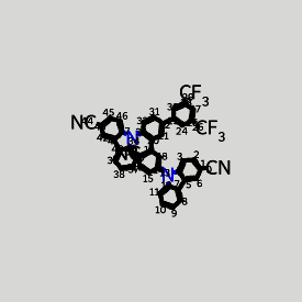 N#Cc1ccc2c(c1)c1ccccc1n2-c1ccc(C#N)c(-c2cc(-c3cc(C(F)(F)F)cc(C(F)(F)F)c3)ccc2-n2c3ccccc3c3cc(C#N)ccc32)c1